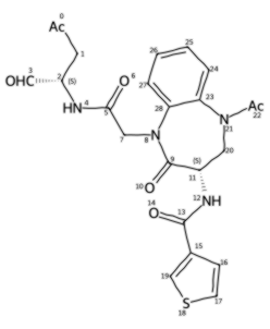 CC(=O)C[C@@H](C=O)NC(=O)CN1C(=O)[C@@H](NC(=O)c2ccsc2)CN(C(C)=O)c2ccccc21